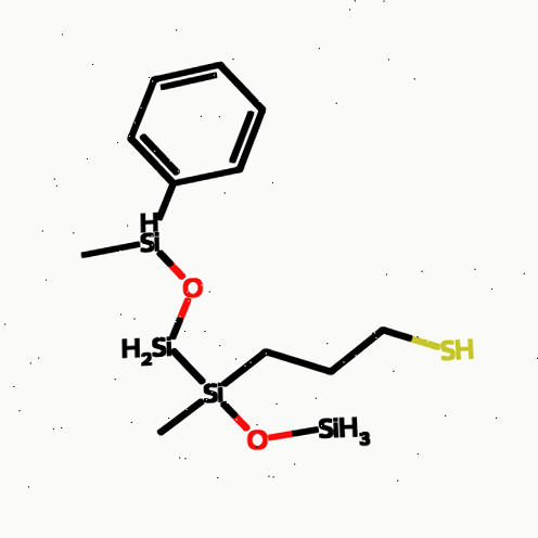 C[SiH](O[SiH2][Si](C)(CCCS)O[SiH3])c1ccccc1